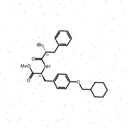 COC(=O)[C@H](Cc1ccc(OCC2CCCCC2)cc1)NC(=O)[C@@H](Cc1ccccc1)C(C)(C)C